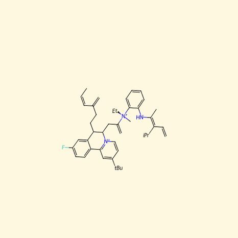 C=C/C(=C(\C)Nc1ccccc1[N@@+](C)(CC)C(=C)CC1C(CCC(=C)/C=C\C)c2cc(F)ccc2-c2cc(C(C)(C)C)cc[n+]21)C(C)C